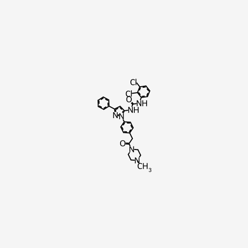 CN1CCN(C(=O)Cc2ccc(-n3nc(-c4ccccc4)cc3NC(=O)Nc3cccc(Cl)c3Cl)cc2)CC1